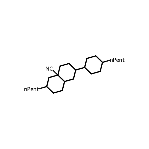 CCCCCC1CCC(C2CCC3(C#N)CC(CCCCC)CCC3C2)CC1